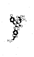 CCc1nc2ccc(/N=c3\[nH]c(=O)n(CC(C)(C)C(=O)O)c(=O)n3Cc3ccc(Cl)cc3)cc2s1